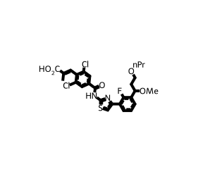 CCCOCCC(OC)c1cccc(-c2csc(NC(=O)c3cc(Cl)c(C=C(C)C(=O)O)c(Cl)c3)n2)c1F